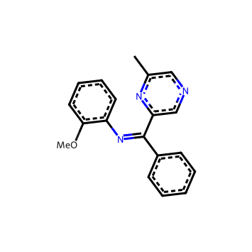 COc1ccccc1N=C(c1ccccc1)c1cncc(C)n1